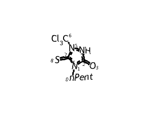 CCCCCn1c(=O)[nH]n(C(Cl)(Cl)Cl)c1=S